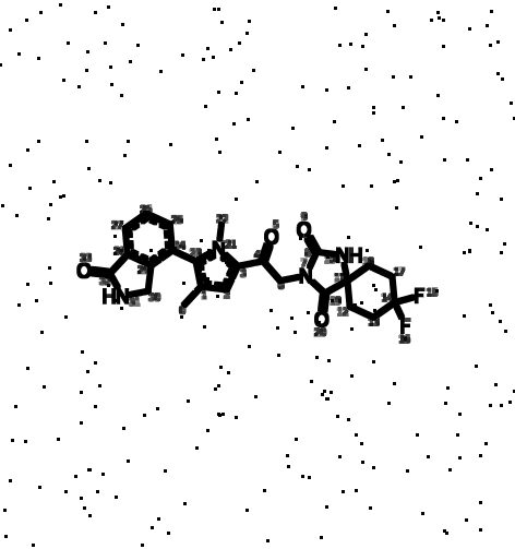 Cc1cc(C(=O)CN2C(=O)NC3(CCC(F)(F)CC3)C2=O)n(C)c1-c1cccc2c1CNC2=O